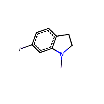 Ic1ccc2c(c1)N(I)CC2